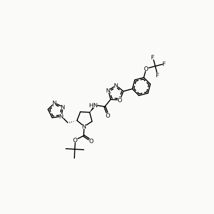 CC(C)(C)OC(=O)N1C[C@H](NC(=O)c2nnc(-c3cccc(OC(F)(F)F)c3)o2)C[C@H]1Cn1ccnn1